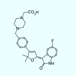 CC1(C)OC(=C2C(=O)Nc3ccc(F)cc32)C=C1c1ccc(CN2CCN(CC(=O)O)CC2)cc1